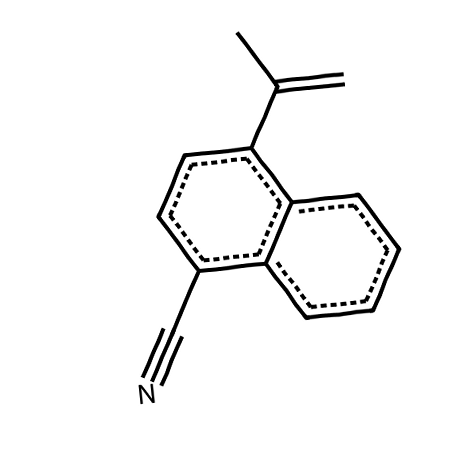 C=C(C)c1ccc(C#N)c2ccccc12